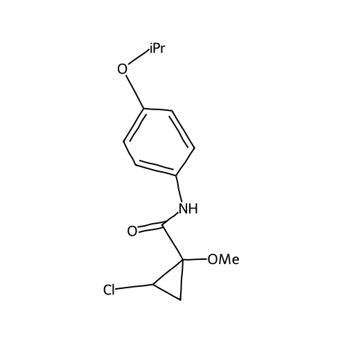 COC1(C(=O)Nc2ccc(OC(C)C)cc2)CC1Cl